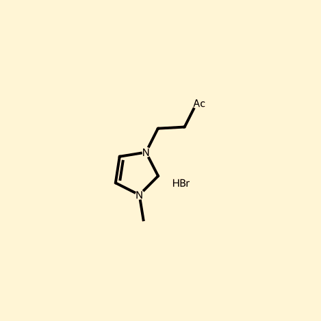 Br.CC(=O)CCN1C=CN(C)C1